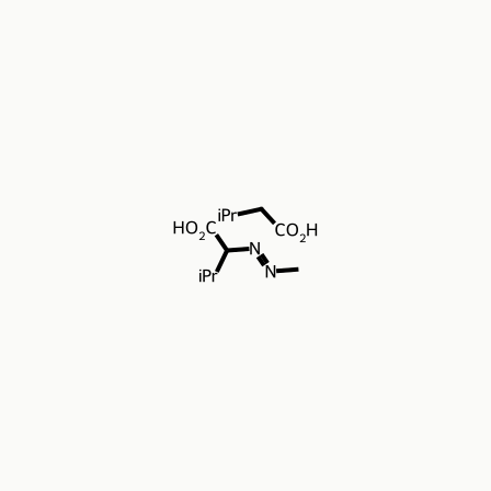 CC(C)CC(=O)O.CN=NC(C(=O)O)C(C)C